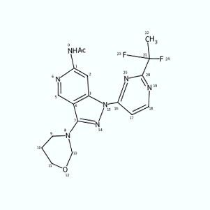 CC(=O)Nc1cc2c(cn1)c(N1CCCOC1)nn2-c1ccnc(C(C)(F)F)n1